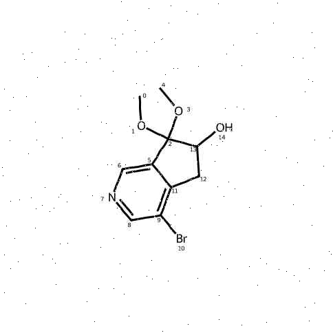 COC1(OC)c2cncc(Br)c2CC1O